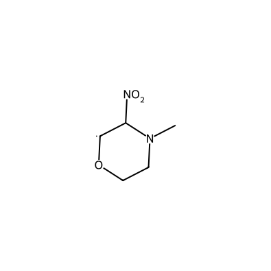 CN1CCO[CH]C1[N+](=O)[O-]